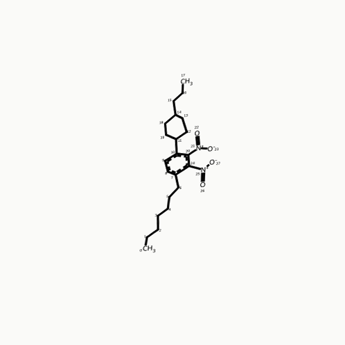 CCCCCCCc1ccc(C2CCC(CCC)CC2)c([N+](=O)[O-])c1[N+](=O)[O-]